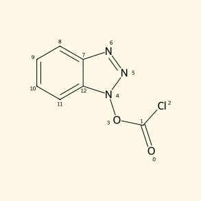 O=C(Cl)On1nnc2ccccc21